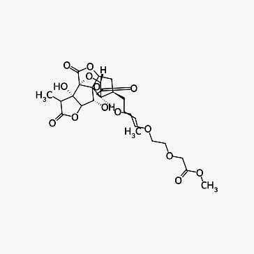 CCCC[C@@H]1CC2OC(=O)[C@@]34O[C@H]5OC(=O)[C@@H](OCCOCCOCC(=O)OC)C15C23[C@H](O)C1OC(=O)C(C)[C@]14O